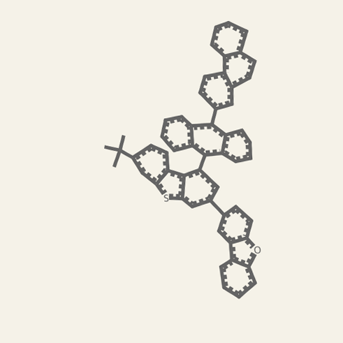 CC(C)(C)c1ccc2c(c1)sc1cc(-c3ccc4oc5ccccc5c4c3)cc(-c3c4ccccc4c(-c4ccc5c(ccc6ccccc65)c4)c4ccccc34)c12